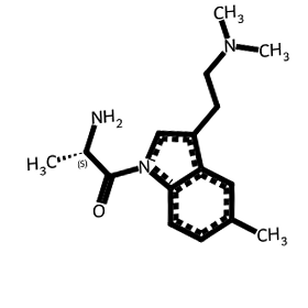 Cc1ccc2c(c1)c(CCN(C)C)cn2C(=O)[C@H](C)N